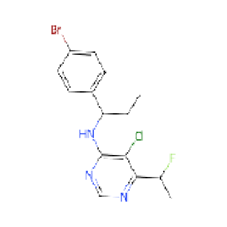 CCC(Nc1ncnc(C(C)F)c1Cl)c1ccc(Br)cc1